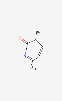 CC1=NC(=O)C(C(C)C)C=C1